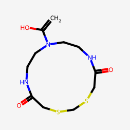 C=C(O)N1CCNC(=O)CSCSCC(=O)NCC1